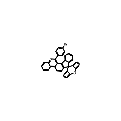 Brc1ccc(-c2nc3ccccc3c3ccc4c(c23)-c2ccccc2C42c3ccccc3Oc3ccccc32)cc1